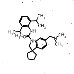 CC(C)c1cccc(C(C)C)c1NC(=O)NCC1(c2ccc(CN(C)C)cc2)CCCC1